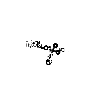 COc1cccc(-c2c(SCCOC3CCCCO3)nn(CC3CCC(COCC(=O)OC(C)(C)C)CC3)c2-c2ccccc2)c1